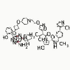 Cc1ncsc1-c1ccc([C@H](C)NC(=O)[C@@H]2C[C@@H](O)CN2C(=O)[C@H](c2cc(OCCN3CCC(OC4CC(Oc5nccc(N6C7CC[C@@H]6CN(c6cc(-c8ccccc8O)nnc6N)C7)n5)C4)CC3)no2)C(C)C)cc1